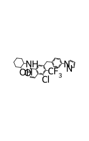 C=Cc1c(C(=O)NC2CCCCC2O)cc(Cc2ccc(-n3cccn3)cc2)c(C(F)(F)F)c1Cl